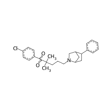 CC(C)(CCCN1CC2CC1CC2c1ccccc1)S(=O)(=O)c1ccc(Cl)cc1